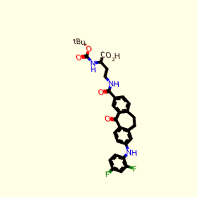 CC(C)(C)OC(=O)NC(CCNC(=O)c1ccc2c(c1)C(=O)c1ccc(Nc3ccc(F)cc3F)cc1CC2)C(=O)O